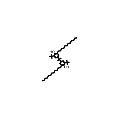 CCCCCCCCCCCCc1cc(C(C)(C)c2cc(CCCCCCCCCCCC)c(O)c(C(C)(C)C)c2)cc(C(C)(C)C)c1O